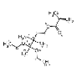 C=C(C)C(=O)OCCC([SiH3])([SiH3])C(C)(OCC)OCC